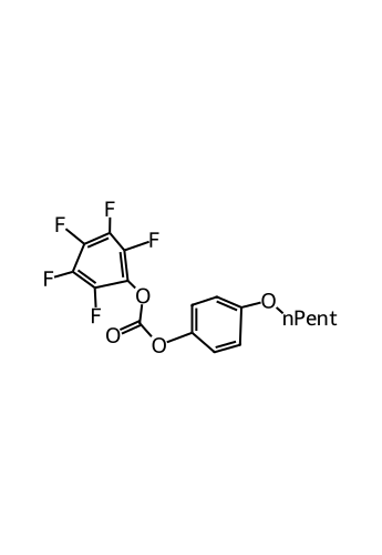 CCCCCOc1ccc(OC(=O)Oc2c(F)c(F)c(F)c(F)c2F)cc1